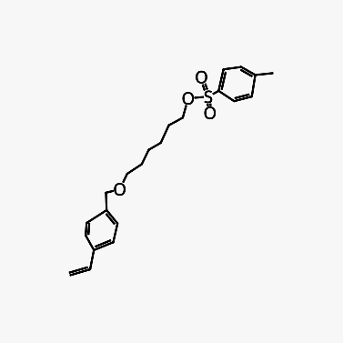 C=Cc1ccc(COCCCCCCOS(=O)(=O)c2ccc(C)cc2)cc1